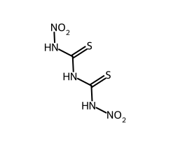 O=[N+]([O-])NC(=S)NC(=S)N[N+](=O)[O-]